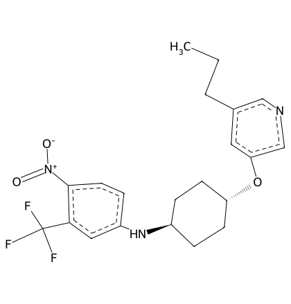 CCCc1cncc(O[C@H]2CC[C@H](Nc3ccc([N+](=O)[O-])c(C(F)(F)F)c3)CC2)c1